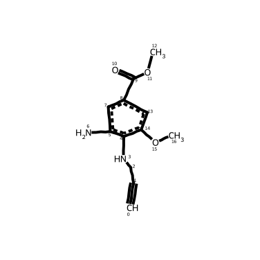 C#CCNc1c(N)cc(C(=O)OC)cc1OC